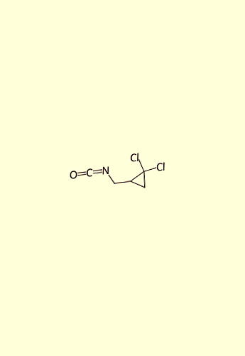 O=C=NCC1CC1(Cl)Cl